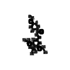 CCOc1ccc(C(=O)C=Cc2cc(OCC)c(C(C)(C)C)c(OCC)c2)cc1